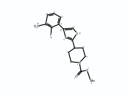 CC(C)(C)OC(=O)N1CCC(c2nc(-c3cccc([N+](=O)[O-])c3F)cs2)CC1